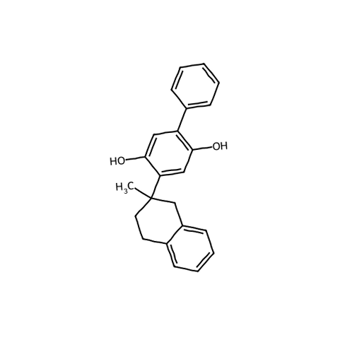 CC1(c2cc(O)c(-c3ccccc3)cc2O)CCc2ccccc2C1